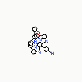 N#Cc1ccc(-c2c(C#N)c(-n3c4c(c5ccccc53)C=CCC4)c(-n3c4ccccc4c4cc5c(cc43)oc3ccccc35)c(-n3c4c(c5ccccc53)C=CCC4)c2C#N)cc1